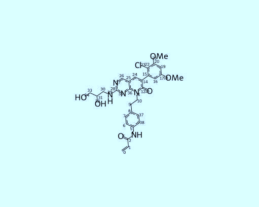 C=CC(=O)Nc1ccc(CCn2c(=O)c(-c3cc(OC)cc(OC)c3Cl)cc3cnc(NCC(O)CO)nc32)cc1